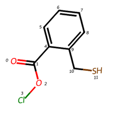 O=C(OCl)c1ccccc1CS